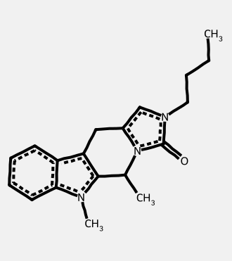 CCCCn1cc2n(c1=O)C(C)c1c(c3ccccc3n1C)C2